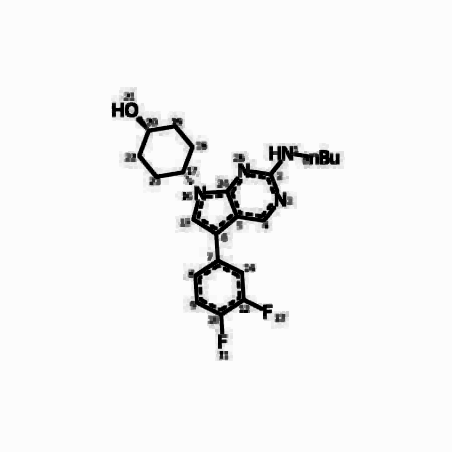 CCCCNc1ncc2c(-c3ccc(F)c(F)c3)cn([C@H]3CC[C@H](O)CC3)c2n1